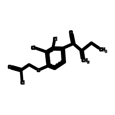 C=C(CC)C(=O)c1ccc(OCC(=O)Cl)c(Cl)c1Cl